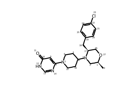 C[C@H]1CN(C2CCN(c3cc(=O)[nH]cn3)CC2)[C@@H](Cc2ccc(Cl)cc2)CO1